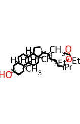 C1CO1.CC(C)CCC[C@@H](C)[C@H]1CC[C@H]2[C@@H]3CC[C@H]4C[C@@H](O)CC[C@]4(C)[C@H]3CC[C@]12C.CCOCC